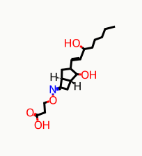 CCCCCC(O)C=CC1C[C@@H]2C(=NOCCC(=O)O)C[C@H]2C1O